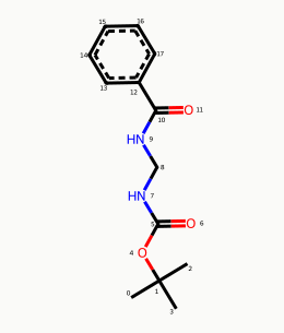 CC(C)(C)OC(=O)NCNC(=O)c1ccccc1